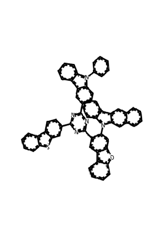 c1ccc(-n2c3ccccc3c3cc(-c4nc(-c5ccc6c(c5)sc5ccccc56)nc(-c5cc6c(cc5-n5c7ccccc7c7cc8ccccc8cc75)oc5ccccc56)n4)ccc32)cc1